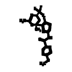 COc1ccc(C(=O)Nc2ccc(F)c([C@]3(C)C[C@@H](C(F)(F)F)N=C(N)O3)n2)nc1